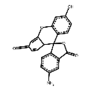 Nc1ccc2c(c1)C(=O)OC21c2ccc(O)cc2OC2=CC(=O)C=CC21